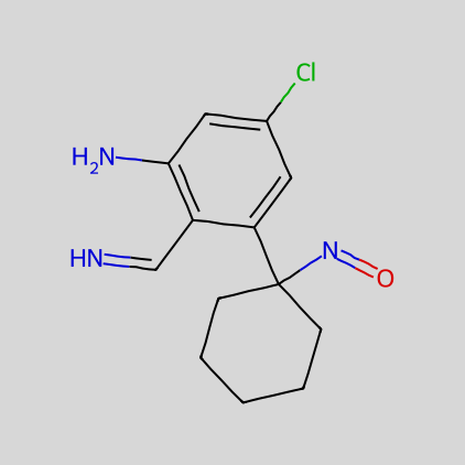 N=Cc1c(N)cc(Cl)cc1C1(N=O)CCCCC1